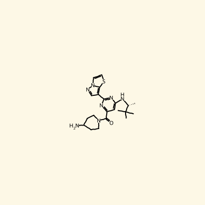 C[C@@H](Nc1cc(C(=O)N2CCC(N)CC2)nc(-c2cnn3ccsc23)n1)C(C)(C)C